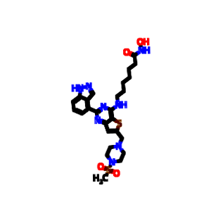 CS(=O)(=O)N1CCN(Cc2cc3nc(-c4cccc5[nH]ncc45)nc(NCCCCCCC(=O)NO)c3s2)CC1